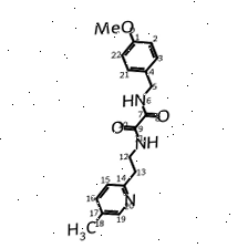 COc1ccc(CNC(=O)C(=O)NCCc2ccc(C)cn2)cc1